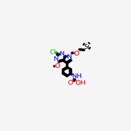 COc1nc(Cl)nc2c1c(-c1cc[c]c(NC(=O)O)c1)cn2COCC[Si](C)(C)C